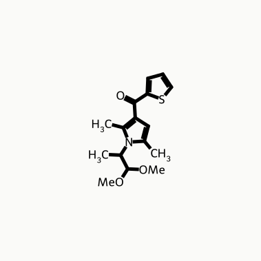 COC(OC)C(C)n1c(C)cc(C(=O)c2cccs2)c1C